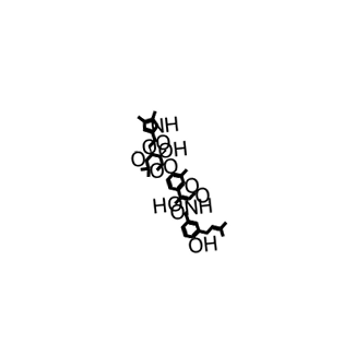 CO[C@@H]1[C@@H](OC(=O)c2cc(C)c(C)[nH]2)[C@@H](O)[C@H](Oc2ccc3c(O)c(NC(=O)c4ccc(O)c(CC=C(C)C)c4)c(=O)oc3c2C)OC1(C)C